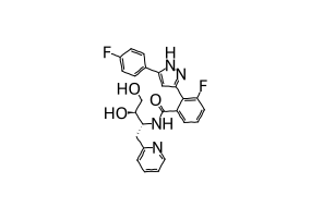 O=C(N[C@H](Cc1ccccn1)[C@@H](O)CO)c1cccc(F)c1-c1cc(-c2ccc(F)cc2)[nH]n1